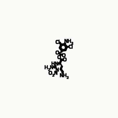 NCCC[C@H](NC(N)=N[N+](=O)[O-])C(=O)OS(=O)(=O)c1cc(Cl)c(N)c(Cl)c1